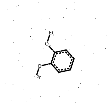 CCOc1ccc[c]c1OC(C)C